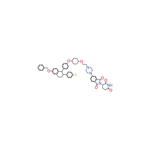 O=C1CCC(N2C(=O)c3ccc(N4CCN(CCOC5CCC(Oc6ccc(C7c8ccc(OCc9ccccc9)cc8CCC7c7ccc(F)cc7)cc6)CC5)CC4)cc3C2=O)C(=O)N1